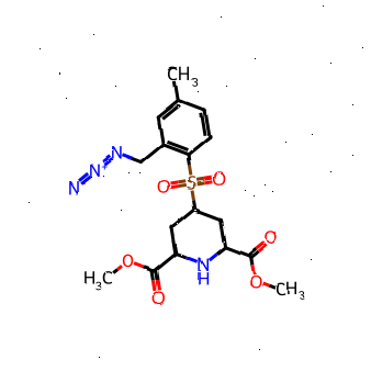 COC(=O)C1CC(S(=O)(=O)c2ccc(C)cc2CN=[N+]=[N-])CC(C(=O)OC)N1